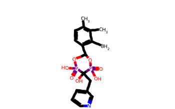 Bc1c(C2OP(=O)(O)C(O)(Cc3cccnc3)P(=O)(O)O2)ccc(C)c1C